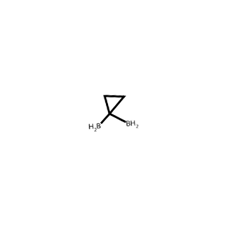 BC1(B)CC1